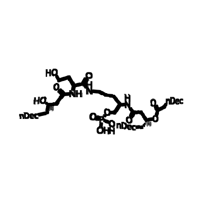 CCCCCCCCCCCC(=O)O[C@H](CCCCCCCCCCC)CC(=O)NC(CCCNC(=O)C(CCO)NC(=O)C[C@H](O)CCCCCCCCCCC)COP(=O)(O)O